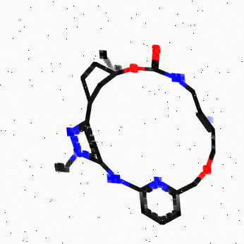 CC(C)(C)n1nc2cc1Nc1cccc(n1)COC/C=C/CNC(=O)O[C@@H]1CCC2C1